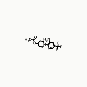 CC(=O)OC1CCN(c2ncc(C(F)(F)F)cc2N)CC1